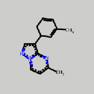 CC1=CC(c2cnn3ccc(C)nc23)CC=C1